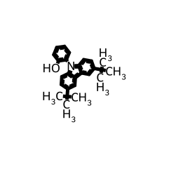 CC(C)(C)c1ccc2c(c1)c1cc(C(C)(C)C)ccc1n2-c1ccccc1O